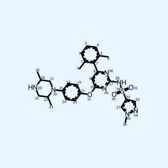 Cc1cccc(C)c1-c1cc(Oc2ccc(N3CC(C)NCC3C)cc2)nc(NS(=O)(=O)c2cnn(C)c2)n1